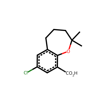 CC1(C)CCCc2cc(Cl)cc(C(=O)O)c2O1